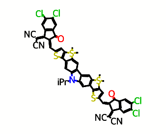 CC(C)n1c2cc3c(cc2c2cc4c(cc21)-c1sc(/C=C2\C(=O)c5cc(Cl)c(Cl)cc5C2=C(C#N)C#N)cc1S4(C)C)S(C)(C)c1cc(/C=C2\C(=O)c4cc(Cl)c(Cl)cc4C2=C(C#N)C#N)sc1-3